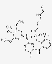 COc1cc(Nc2ncc(F)c(Nc3cccc(C)c3CS(=O)(=O)NCCCNC=O)n2)cc(OC)c1OC